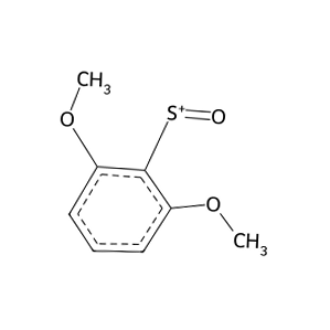 COc1cccc(OC)c1[S+]=O